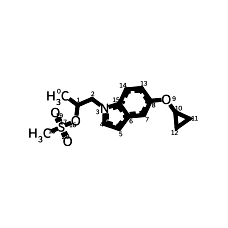 CC(Cn1ccc2cc(OC3CC3)ccc21)OS(C)(=O)=O